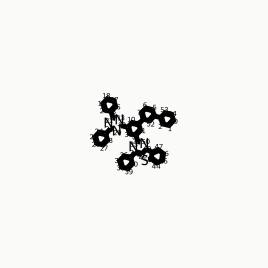 c1ccc(-c2cccc(-c3cc(-c4nc(-c5ccccc5)nc(-c5ccccc5)n4)cc(-c4nc(-c5ccccc5)c5sc6ccccc6c5n4)c3)c2)cc1